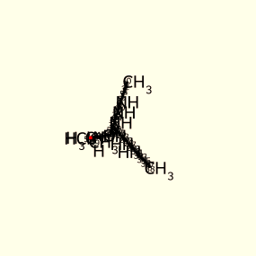 CCCCCCCCNCCCNCCCNCc1cc(CNCCCNCCCNCCCCCCCC)cc(OCCCNCC(C)C)c1.Cl